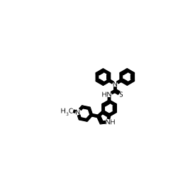 CN1CCC(c2c[nH]c3ccc(NC(=S)N(c4ccccc4)c4ccccc4)cc23)CC1